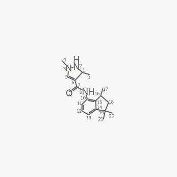 CC1NN(C)C=C1C(=O)Nc1cccc2c1C(C)CC2(C)C